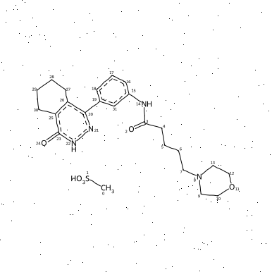 CS(=O)(=O)O.O=C(CCCCN1CCOCC1)Nc1cccc(-c2n[nH]c(=O)c3c2CCCC3)c1